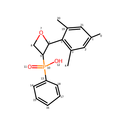 Cc1cc(C)c(C2OCC2P(=O)(O)c2ccccc2)c(C)c1